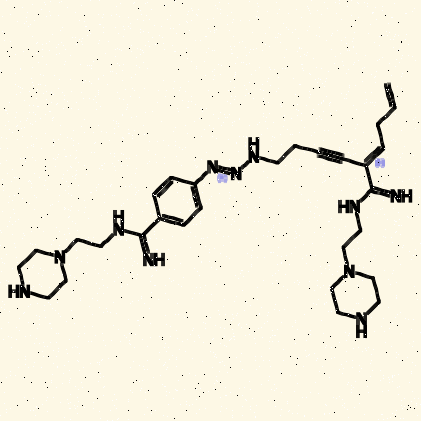 C=CC/C=C(\C#CCCN/N=N/c1ccc(C(=N)NCCN2CCNCC2)cc1)C(=N)NCCN1CCNCC1